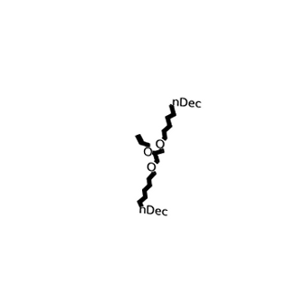 C=CCOC(COCCCCCCCCCCCCCCCC)COCCCCCCCCCCCCCCCC